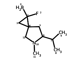 BC1(F)CC12CC(C(C)C)N(C)C2